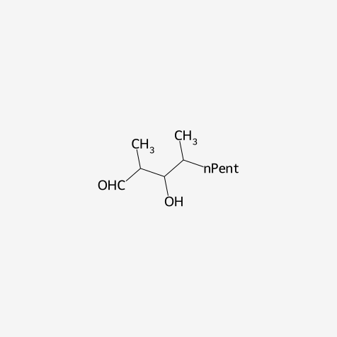 CCCCCC(C)C(O)C(C)C=O